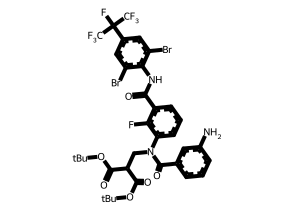 CC(C)(C)OC(=O)C(CN(C(=O)c1cccc(N)c1)c1cccc(C(=O)Nc2c(Br)cc(C(F)(C(F)(F)F)C(F)(F)F)cc2Br)c1F)C(=O)OC(C)(C)C